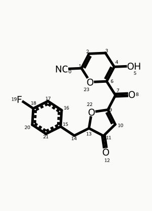 N#CC1=CCC(O)=C(C(=O)C2=CC(=O)C(Cc3ccc(F)cc3)O2)O1